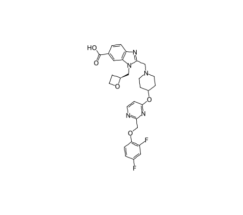 O=C(O)c1ccc2nc(CN3CCC(Oc4ccnc(COc5ccc(F)cc5F)n4)CC3)n(C[C@@H]3CCO3)c2c1